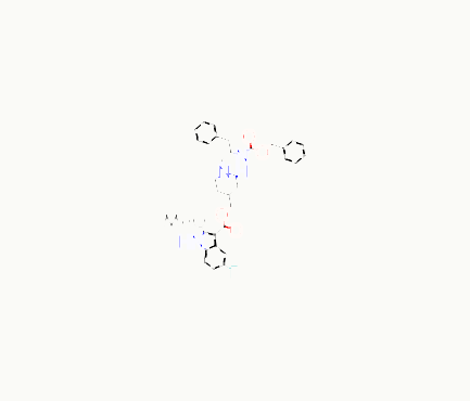 COc1[nH]c2ccc(F)cc2c1C(=O)OCC1CCN(C[C@@H](Cc2ccccc2)NC(=O)OCc2ccccc2)CC1